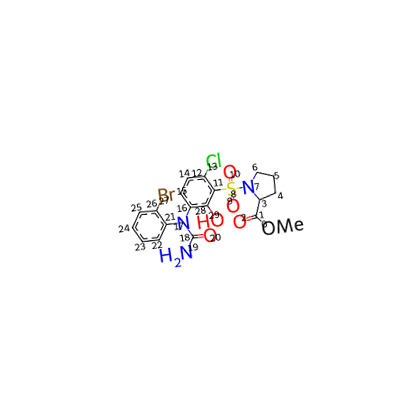 COC(=O)C1CCCN1S(=O)(=O)c1c(Cl)ccc(N(C(N)=O)c2ccccc2Br)c1O